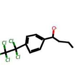 CCCC([O])c1ccc(C(Cl)(Cl)C(Cl)(Cl)Cl)cc1